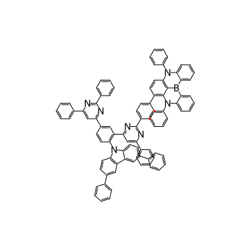 c1ccc(-c2ccc3c(c2)c2cc(-c4ccccc4)ccc2n3-c2ccc(-c3cc(-c4ccccc4)nc(-c4ccccc4)n3)cc2-c2cc(-c3ccccc3)nc(-c3ccc(-c4ccc5c6c4N(c4ccccc4)c4ccccc4B6c4ccccc4N5c4ccccc4)cc3)n2)cc1